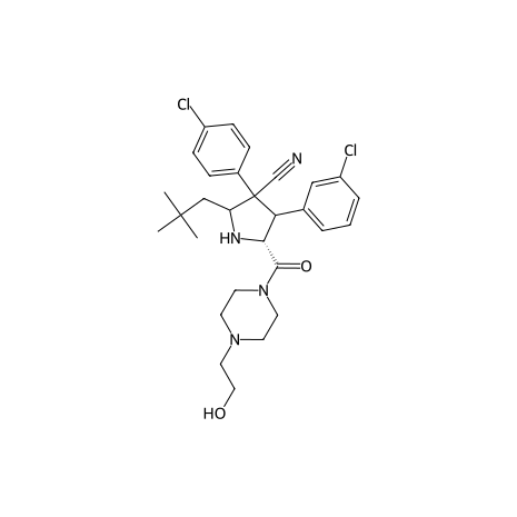 CC(C)(C)CC1N[C@@H](C(=O)N2CCN(CCO)CC2)C(c2cccc(Cl)c2)C1(C#N)c1ccc(Cl)cc1